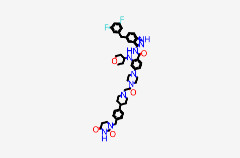 O=C1CCN(Cc2ccc(C3CCN(CC(=O)N4CCN(c5ccc(C(=O)Nc6n[nH]c7ccc(Cc8cc(F)cc(F)c8)cc67)c(NC6CCOCC6)c5)CC4)CC3)cc2)C(=O)N1